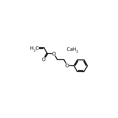 C=CC(=O)OCCOc1ccccc1.[CaH2]